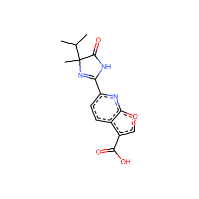 CC(C)C1(C)N=C(c2ccc3c(C(=O)O)coc3n2)NC1=O